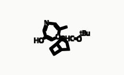 C1CC2CCC2C1.CC(C)(C)OC=O.CC1=CN=CC(O)=CO1